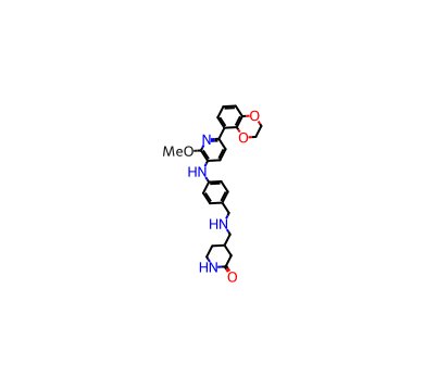 COc1nc(-c2cccc3c2OCCO3)ccc1Nc1ccc(CNCC2CCNC(=O)C2)cc1